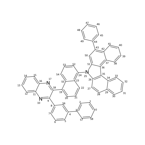 c1ccc(-c2cccc(-c3nc4ccccc4nc3-c3cccc4c(-n5c6ccc7ccccc7c6c6c7ccccc7c(-c7ccccc7)cc65)cccc34)c2)cc1